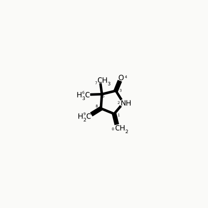 C=C1NC(=O)C(C)(C)C1=C